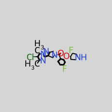 Cc1nc2c3c(nn2c(C)c1Cl)CN(C(=O)c1ccc(F)cc1O[C@H]1CCNCC1F)C3